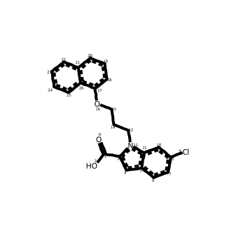 O=C(O)c1cc2ccc(Cl)cc2n1CCCOc1cccc2ccccc12